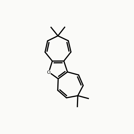 CC1(C)C=Cc2oc3c(c2C=C1)C=CC(C)(C)C=C3